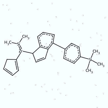 C[Si](C)=[Zr]([C]1=CC=CC1)[CH]1C=Cc2c(-c3ccc([Si](C)(C)C)cc3)cccc21